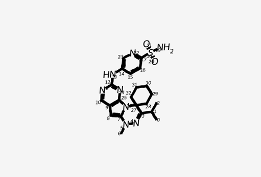 CC(C)C1=NN(C)c2cc3cnc(Nc4ccc(S(N)(=O)=O)nc4)nc3n2C12CCCCC2